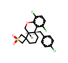 O=S1(=O)CC2(CCC[C@@]3(Cc4ccc(Cl)cc4)c4c(F)ccc(F)c4OC[C@@H]23)C1